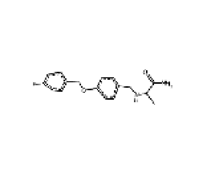 CC(NCc1ccc(OCc2ccc(F)cc2)cc1)C(N)=O